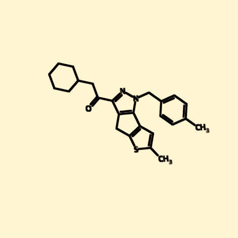 Cc1ccc(Cn2nc(C(=O)CC3CCCCC3)c3c2-c2cc(C)sc2C3)cc1